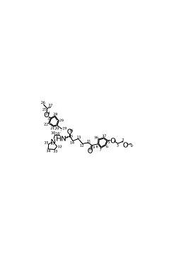 COCCOc1ccc(C(=O)CCCCC(=O)N[C@@H](Cc2ccc(OC(C)C)cc2)CN2CCCC2)cc1